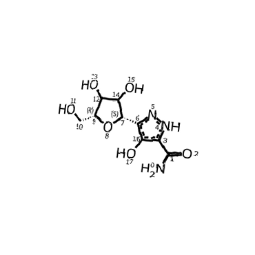 NC(=O)c1[nH]nc([C@@H]2O[C@H](CO)C(O)C2O)c1O